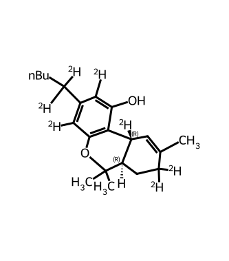 [2H]c1c(O)c2c(c([2H])c1C([2H])([2H])CCCC)OC(C)(C)[C@@H]1CC([2H])([2H])C(C)=C[C@@]21[2H]